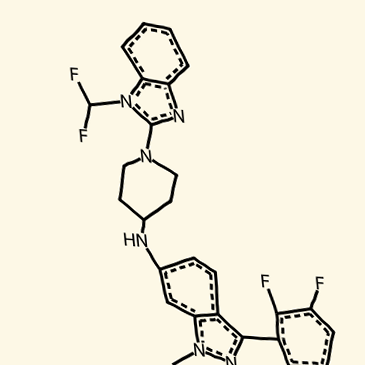 Cn1nc(-c2cccc(F)c2F)c2ccc(NC3CCN(c4nc5ccccc5n4C(F)F)CC3)cc21